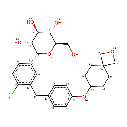 OC[C@H]1O[C@H](c2ccc(Cl)c(Cc3ccc(OC4CCC5(CC4)COC5)cc3)c2)[C@H](O)[C@@H](O)[C@@H]1O